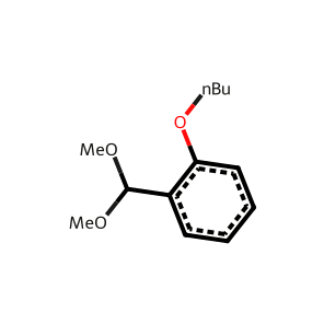 CCCCOc1ccccc1C(OC)OC